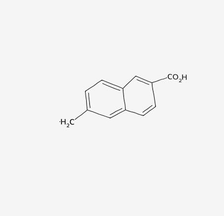 [CH2]c1ccc2cc(C(=O)O)ccc2c1